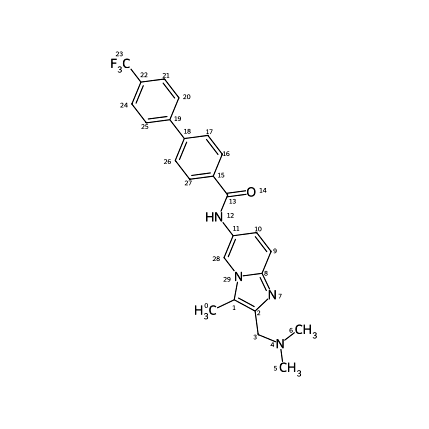 Cc1c(CN(C)C)nc2ccc(NC(=O)c3ccc(-c4ccc(C(F)(F)F)cc4)cc3)cn12